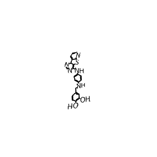 Oc1ccc(CNc2ccc(Nc3ncnc4c3sc3ncccc34)cc2)cc1O